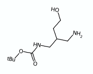 CC(C)(C)OC(=O)NCC(CN)CCO